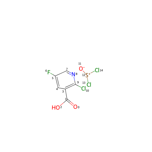 O=C(O)c1cc(F)cnc1Cl.[O-][S+](Cl)Cl